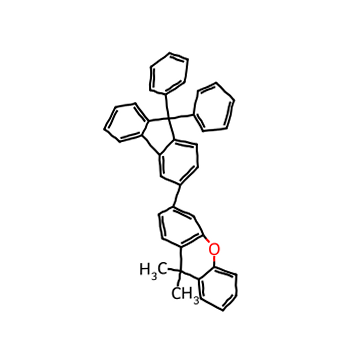 CC1(C)c2ccccc2Oc2cc(-c3ccc4c(c3)-c3ccccc3C4(c3ccccc3)c3ccccc3)ccc21